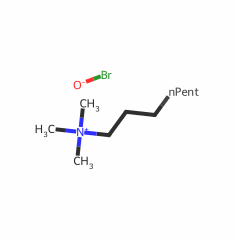 CCCCCCCC[N+](C)(C)C.[O-]Br